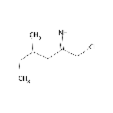 CCC(C)CC(=N)CCl